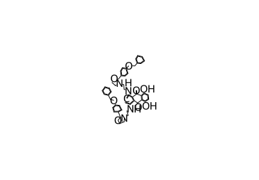 O=C1c2c(O)ccc(O)c2C(=O)c2c(NCCN3CCOC3c3ccc(OCc4ccccc4)cc3)ccc(NCCN3CCOC3c3ccc(OCc4ccccc4)cc3)c21